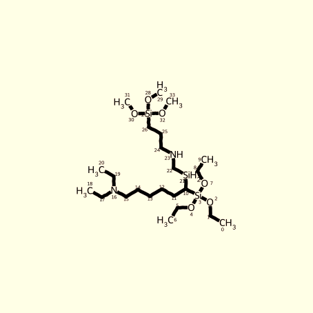 CCO[Si](OCC)(OCC)C(CCCCCN(CC)CC)[SiH2]CNCCC[Si](OC)(OC)OC